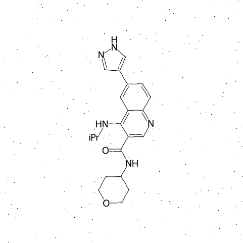 CC(C)Nc1c(C(=O)NC2CCOCC2)cnc2ccc(-c3cn[nH]c3)cc12